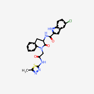 Cc1nnc(NC(=O)CN2C(=O)C(NC(=O)c3cc4cc(Cl)ccc4[nH]3)Cc3ccccc32)s1